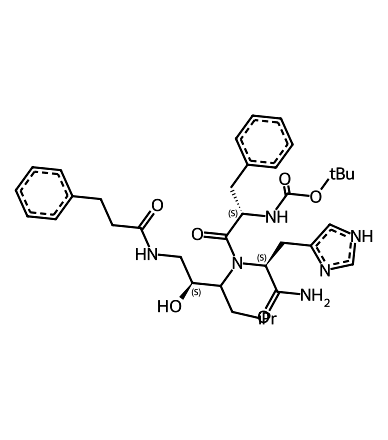 CC(C)CC([C@@H](O)CNC(=O)CCc1ccccc1)N(C(=O)[C@H](Cc1ccccc1)NC(=O)OC(C)(C)C)[C@@H](Cc1c[nH]cn1)C(N)=O